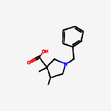 CC1CN(Cc2ccccc2)CC1(C)C(=O)O